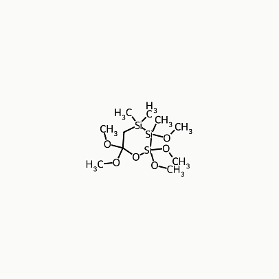 COC1(OC)C[Si](C)(C)[Si](C)(OC)[Si](OC)(OC)O1